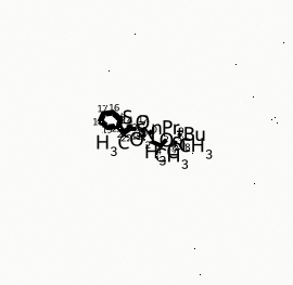 CCCN(CC(C)O[Si](C)(C)C(C)(C)C)S(=O)(=O)c1sc2ccccc2c1C